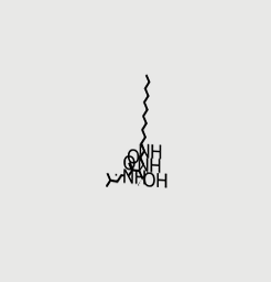 CCCCCCCCCCCNC(=O)N[C@H](C(=O)N[CH]CC(C)C)[C@@H](C)O